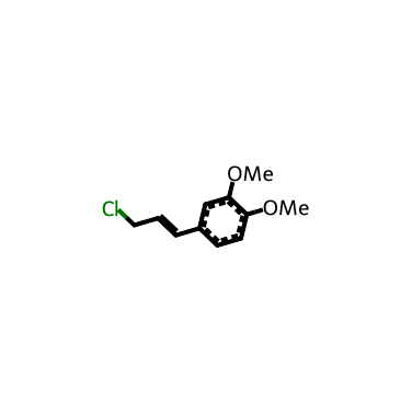 COc1ccc(/C=C/CCl)cc1OC